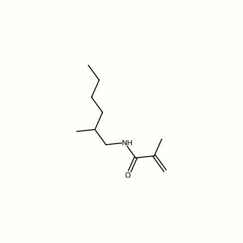 C=C(C)C(=O)NCC(C)CCCC